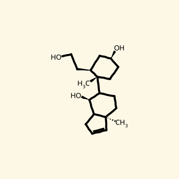 C[C@]12C=CCC1[C@@H](O)C([C@@]1(C)CC[C@H](O)C[C@@H]1CCO)CC2